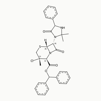 CC1(C)NC(c2ccccc2)C(=O)N1[C@@H]1C(=O)N2[C@@H]1SC[C@@](C)(Cl)[C@@H]2C(=O)OC(c1ccccc1)c1ccccc1